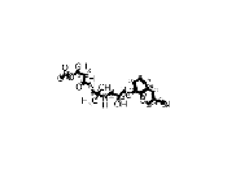 CC(CC(=O)NCC(C)(C)NCC(O)COc1cccc2c1OCC(C#N)=C2)O[N+](=O)[O-]